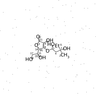 CCC(C)(O)CC(O)OC1=C(O)C(=O)O[C@@H]1[C@@H](O)CO